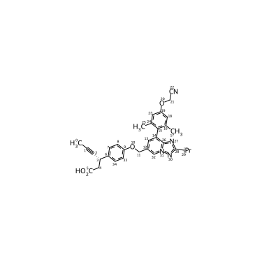 CC#C[C@@H](CC(=O)O)c1ccc(OCc2cc(-c3c(C)cc(OCC#N)cc3C)c3nc(C(C)C)nn3c2)cc1